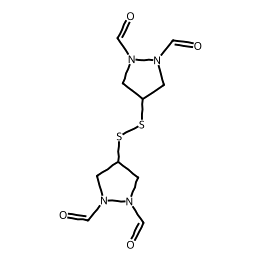 O=CN1CC(SSC2CN(C=O)N(C=O)C2)CN1C=O